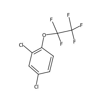 FC(F)(F)C(F)(F)Oc1ccc(Cl)cc1Cl